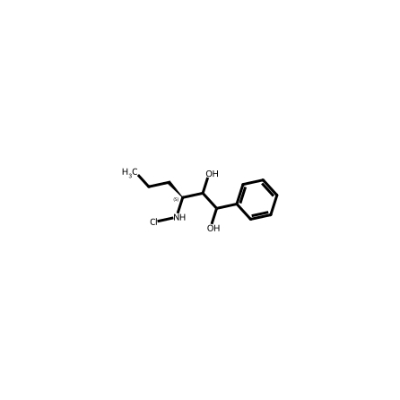 CCC[C@H](NCl)C(O)C(O)c1ccccc1